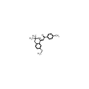 COc1ccc2c(c1)C(=CC(=O)c1ccc(C)cc1)NC(C)(C)C2